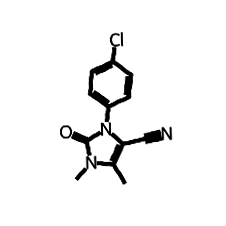 Cc1c(C#N)n(-c2ccc(Cl)cc2)c(=O)n1C